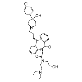 CCN(CC)CCN(CCO)C(=O)CN1C(=O)c2ccccc2C(=CCCN2CCC(O)(c3ccc(Cl)cc3)CC2)c2ccccc21